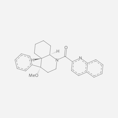 CO[C@@]1(c2ccccc2)CCN(C(=O)c2ccc3ccccc3n2)[C@@H]2CCCC[C@H]21